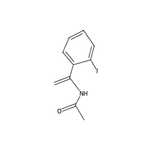 C=C(NC(C)=O)c1ccccc1I